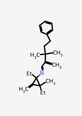 C=C(/C=N/C1(CC)C(=C)C1(C)CC)C(C)(C)CCc1ccccc1